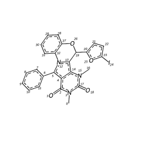 Cn1c(=O)c2c(-c3ccccc3)n3c(c2n(C)c1=O)C(c1ccc(I)o1)Oc1ccccc1-3